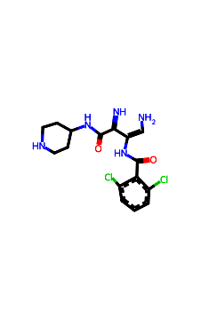 N=C(C(=O)NC1CCNCC1)/C(=C\N)NC(=O)c1c(Cl)cccc1Cl